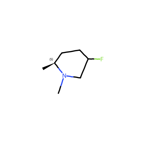 C[C@H]1CCC(F)CN1C